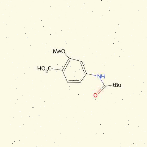 COc1cc(NC(=O)C(C)(C)C)ccc1C(=O)O